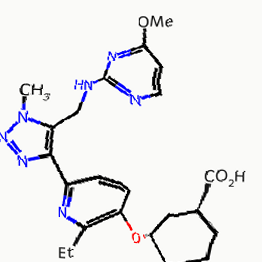 CCc1nc(-c2nnn(C)c2CNc2nccc(OC)n2)ccc1O[C@H]1CCC[C@H](C(=O)O)C1